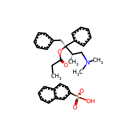 CCC(=O)O[C@@](Cc1ccccc1)(c1ccccc1)[C@@H](C)CN(C)C.O=S(=O)(O)c1ccc2ccccc2c1